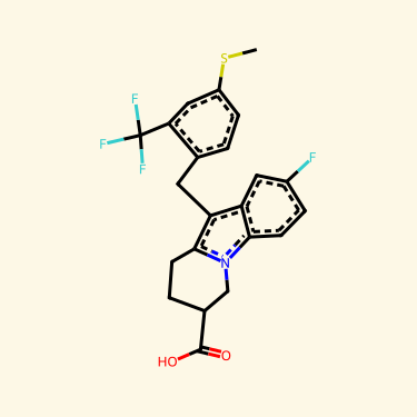 CSc1ccc(Cc2c3n(c4ccc(F)cc24)CC(C(=O)O)CC3)c(C(F)(F)F)c1